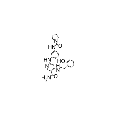 NC(=O)c1cnc(Nc2cccc(NC(=O)N3CCCC3)c2)cc1NCCc1ccccc1O